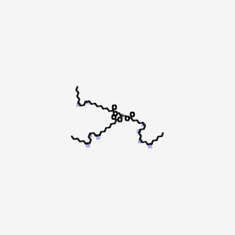 CCCCC/C=C\C/C=C\C/C=C\C/C=C\CCCC(=O)OC[C@@H](COC(=O)CCCCCCC/C=C\C/C=C\CCCCC)OC(=O)CCCCCC/C=C\C/C=C\C/C=C\CCCCC